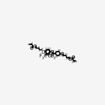 C=CC(=O)OCCCCOc1ccc(OC(=O)C2CCC(OCCCCOC(=O)C=C)CC2)c(C(F)(F)F)c1C(F)(F)F